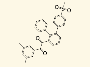 Cc1cc(C)cc(C(=O)C(=O)c2cccc(-c3ccc(S(C)(=O)=O)cc3)c2-c2ccccc2)c1